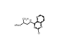 CCCCC[C@H](CNc1nc(Cl)nc2cccnc12)C(=O)O